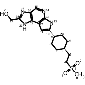 CS(=O)(=O)CC[C@H]1CC[C@H](C2=Cc3c(ncc4nc(CO)[nH]c34)[N]2)CC1